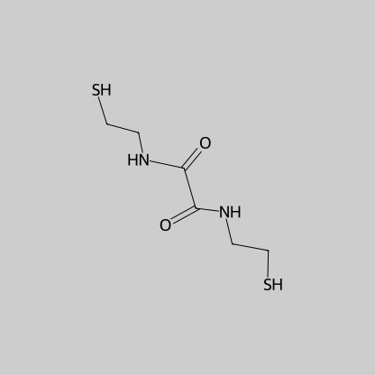 O=C(NCCS)C(=O)NCCS